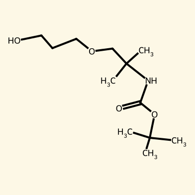 CC(C)(COCCCO)NC(=O)OC(C)(C)C